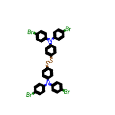 Brc1ccc(N(c2ccc(Br)cc2)c2ccc(SSc3ccc(N(c4ccc(Br)cc4)c4ccc(Br)cc4)cc3)cc2)cc1